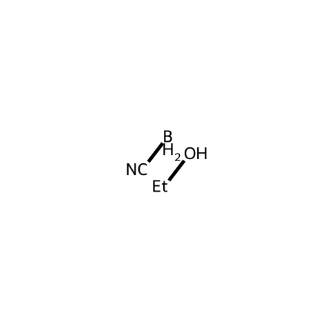 BC#N.CCO